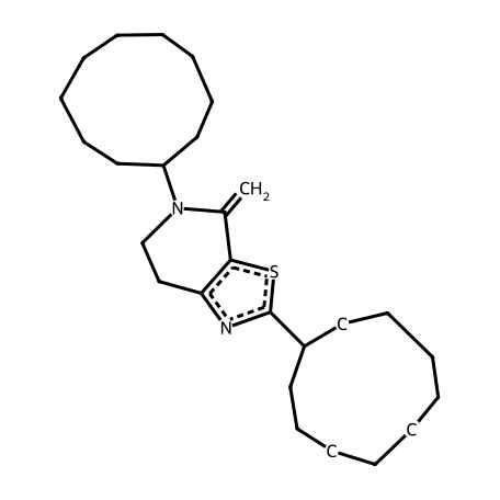 C=C1c2sc(C3CCCCCCCCC3)nc2CCN1C1CCCCCCCCC1